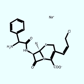 NC(C(=O)N[C@@H]1C(=O)N2C(C(=O)[O-])=C(/C=C\CCl)CS[C@H]12)c1ccccc1.[Na+]